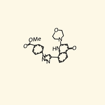 COC(=O)c1ccc(-n2cc(-c3cccc4c(=O)cc(N5CCOCC5)[nH]c34)nn2)cc1